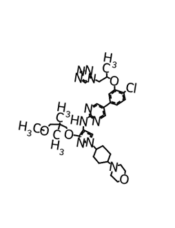 COCC(C)(C)COc1nn(C2CCC(N3CCOCC3)CC2)cc1Nc1ncc(-c2ccc(Cl)c(OC(C)Cn3cnnn3)c2)cn1